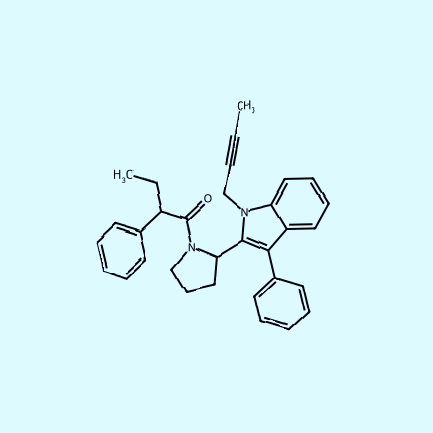 CC#CCn1c(C2CCCN2C(=O)C(CC)c2ccccc2)c(-c2ccccc2)c2ccccc21